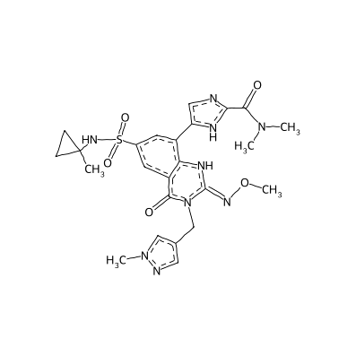 CO/N=c1\[nH]c2c(-c3cnc(C(=O)N(C)C)[nH]3)cc(S(=O)(=O)NC3(C)CC3)cc2c(=O)n1Cc1cnn(C)c1